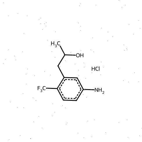 CC(O)Cc1cc(N)ccc1C(F)(F)F.Cl